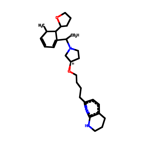 CC1C=CC=C(C(C(=O)O)N2CC[C@@H](OCCCCc3ccc4c(n3)NCCC4)C2)C1C1CCCO1